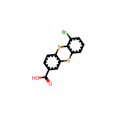 O=C(O)c1ccc2c(c1)Sc1cccc(Br)c1S2